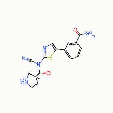 N#CN(C(=O)[C@H]1CCNC1)c1ncc(-c2cccc(C(N)=O)c2)s1